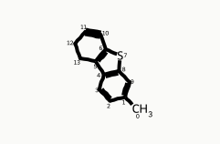 Cc1ccc2c3c(sc2c1)C#CCC3